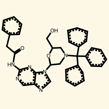 O=C(Cc1ccccc1)Nc1n[c]c2ncn(C3CN(C(c4ccccc4)(c4ccccc4)c4ccccc4)CC(CO)O3)c2n1